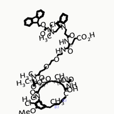 COc1cc2cc(c1Cl)N(C)C(=O)C[C@H](OC(=O)[C@H](C)N(C)C(=O)CCOCCOCCNC(=O)[C@H](CCC(=O)O)NC(=O)CCn1c(CN(C)N(C)C(=O)OCC3c4ccccc4-c4ccccc43)cc3ccccc31)[C@]1(C)OC1[C@H](C)[C@@H]1C[C@](O)(C/C=C/C=C(\C)C2)NC(=O)O1